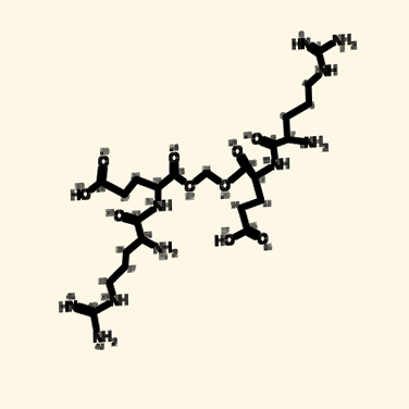 N=C(N)NCCCC(N)C(=O)NC(CCC(=O)O)C(=O)OCOC(=O)C(CCC(=O)O)NC(=O)C(N)CCCNC(=N)N